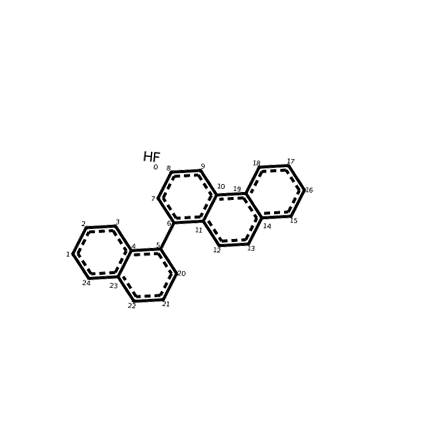 F.c1ccc2c(-c3cccc4c3ccc3ccccc34)cccc2c1